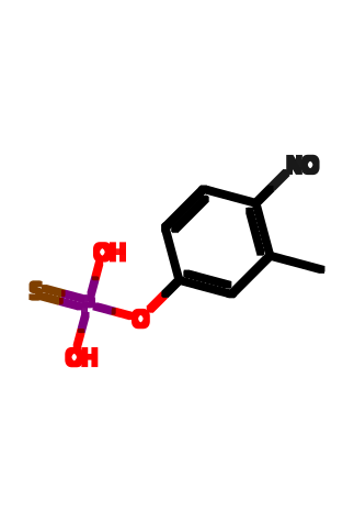 Cc1cc(OP(O)(O)=S)ccc1N=O